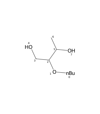 CCCCOC(CO)C(C)O